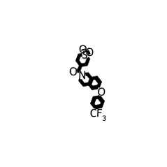 O=C(C1CCS(=O)(=O)CC1)N1CCc2cc(Oc3ccc(C(F)(F)F)cc3)ccc2C1